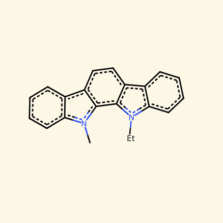 CCn1c2ccccc2c2ccc3c4ccccc4n(C)c3c21